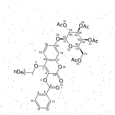 CCCCCCCCCCCOc1c(OC(=O)c2ccccc2)c(=O)oc2cc(O[C@@H]3O[C@H](COC(C)=O)[C@H](OC(C)=O)[C@H](OC(C)=O)[C@H]3OC(C)=O)ccc12